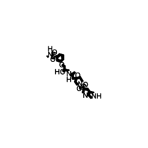 CNS(=O)(=O)c1cccc(OCC(O)CN[C@H]2COC3(CCN(S(=O)(=O)c4cnc5c(c4)CNC5)CC3)C2)c1